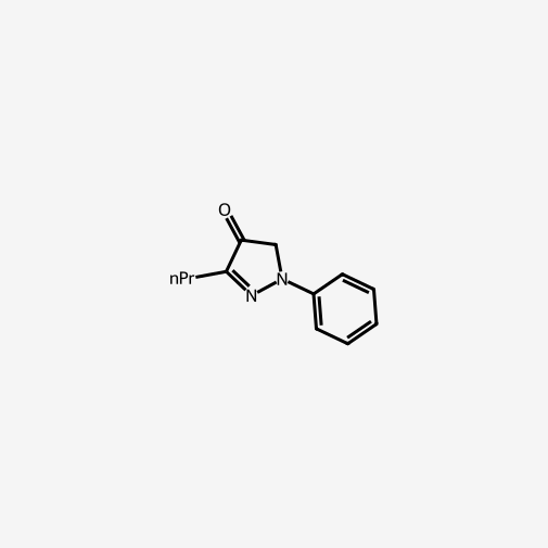 CCCC1=NN(c2ccccc2)CC1=O